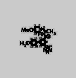 COC1CCN(C[C@@H](C)NC(=O)c2cc(-c3ccc(C)cc3)cc(-n3cnnn3)c2)CC1